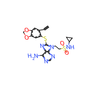 C#Cc1cc2c(cc1Sc1nc3c(N)ncnc3n1CCS(=O)(=O)NC1CC1)OCO2